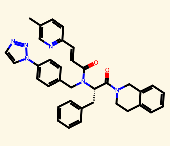 Cc1ccc(C=CC(=O)N(Cc2ccc(-n3ccnn3)cc2)[C@@H](Cc2ccccc2)C(=O)N2CCc3ccccc3C2)nc1